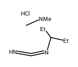 CCC(CC)N=C=N.CNC.Cl